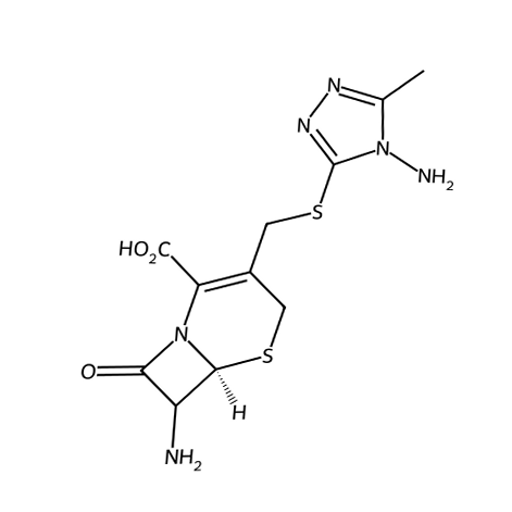 Cc1nnc(SCC2=C(C(=O)O)N3C(=O)C(N)[C@@H]3SC2)n1N